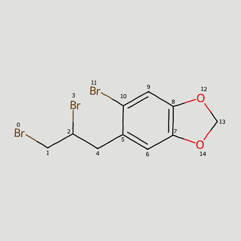 BrCC(Br)Cc1cc2c(cc1Br)OCO2